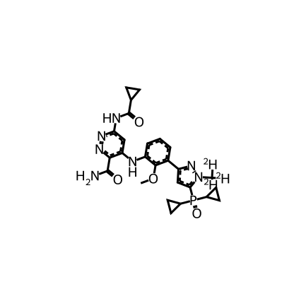 [2H]C([2H])([2H])n1nc(-c2cccc(Nc3cc(NC(=O)C4CC4)nnc3C(N)=O)c2OC)cc1P(=O)(C1CC1)C1CC1